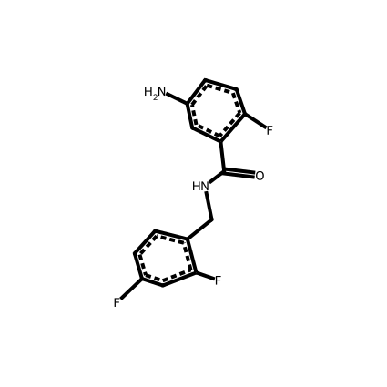 Nc1ccc(F)c(C(=O)NCc2ccc(F)cc2F)c1